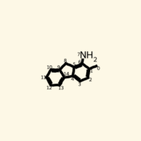 Cc1ccc2c(c1N)Cc1ccccc1-2